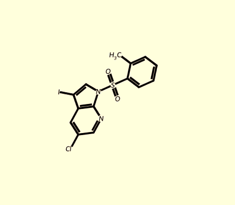 Cc1ccccc1S(=O)(=O)n1cc(I)c2cc(Cl)cnc21